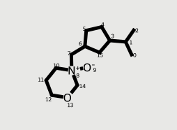 CC(C)C1CCC(C[N+]2([O-])CCCOC2)C1